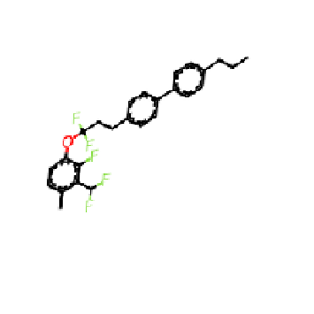 CCCc1ccc(-c2ccc(CCC(F)(F)Oc3ccc(C)c(C(F)F)c3F)cc2)cc1